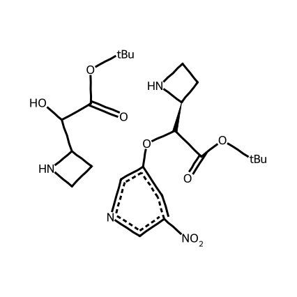 CC(C)(C)OC(=O)C(O)C1CCN1.CC(C)(C)OC(=O)C(Oc1cncc([N+](=O)[O-])c1)[C@@H]1CCN1